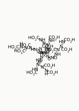 CN(CC(=O)NCC(CNC(=O)CN(C)C(=O)CNCCN(CCN(CCNCC(=O)O)CC(=O)O)CC(=O)O)(CNC(=O)CN(C)C(=O)CN(CCNCC(=O)O)CCN(CCNCC(=O)O)CC(=O)O)CNC(=O)CN(C)C(=O)CN(CCNCC(=O)O)CCN(CCNCC(=O)O)CC(=O)O)C(=O)CNCCN(CCN(CCNCC(=O)O)CC(=O)O)CC(=O)O